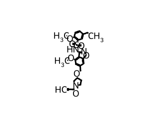 C#CC(=O)N1CC[C@@H](OCc2cc(OC)c3c(NS(=O)(=O)c4cc(CC)ccc4OC)noc3c2)C1